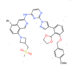 COc1ccc(COc2cccc(-c3cnn(-c4nccc(Nc5cc6c(C(C)C)ccc(N7CC(CS(C)(=O)=O)C7)c6cn5)n4)c3)c2C2OCCO2)cc1